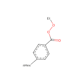 [CH2]COOC(=O)c1ccc(CCCCCC)cc1